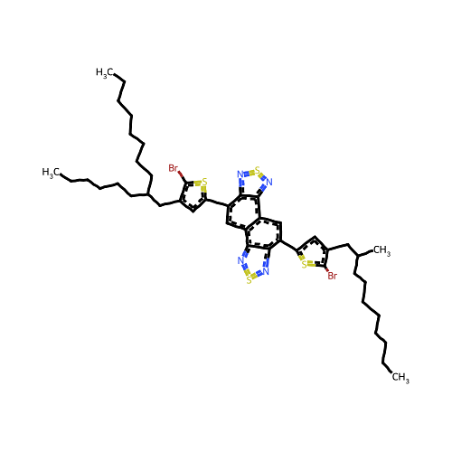 CCCCCCCCC(C)Cc1cc(-c2cc3c(cc(-c4cc(CC(CCCCCC)CCCCCCCC)c(Br)s4)c4nsnc43)c3nsnc23)sc1Br